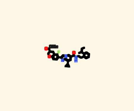 C/C=C(/C)c1ccccc1CCNC(=O)c1cc(C2CC2)c2nc(-c3ccc4c(c3F)C=C(C(=O)OC)CO4)cn2c1